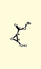 CC(C)(C)OC(=O)[C@@H]1O[C@@H]1C=O